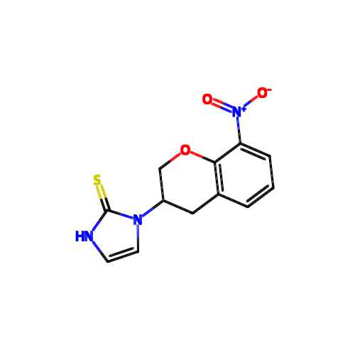 O=[N+]([O-])c1cccc2c1OCC(n1cc[nH]c1=S)C2